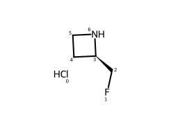 Cl.FC[C@H]1CCN1